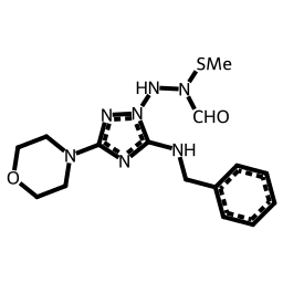 CSN(C=O)Nn1nc(N2CCOCC2)nc1NCc1ccccc1